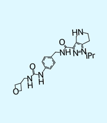 CC(C)n1nc(C(=O)NCc2ccc(NC(=O)NCC3COC3)cc2)c2c1CCNC2